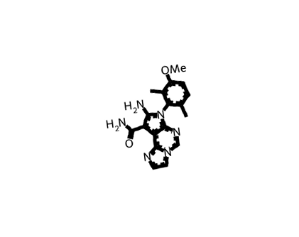 COc1ccc(C)c(-n2c(N)c(C(N)=O)c3c2ncn2ccnc32)c1C